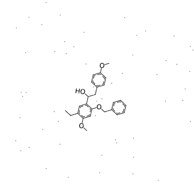 CCc1cc(C(O)Cc2ccc(OC)cc2)c(OCc2ccccc2)cc1OC